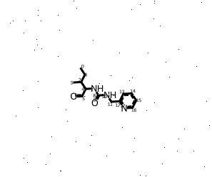 CCC(C)C([C]=O)NC(=O)NCc1ccccn1